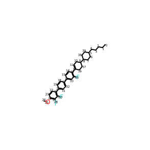 CCCCCC1CCC(C2CC=C(c3ccc(-c4ccc(-c5ccc(OC)c(F)c5F)cc4)cc3F)CC2)CC1